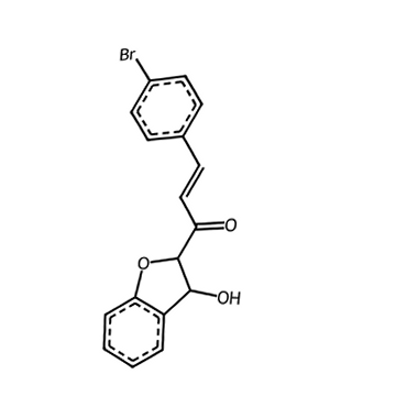 O=C(/C=C/c1ccc(Br)cc1)C1Oc2ccccc2C1O